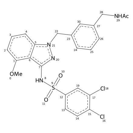 COc1cccc2c1c(NS(=O)(=O)c1ccc(Cl)c(Cl)c1)nn2Cc1cccc(CNC(C)=O)c1